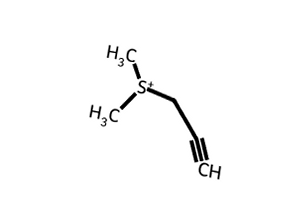 C#CC[S+](C)C